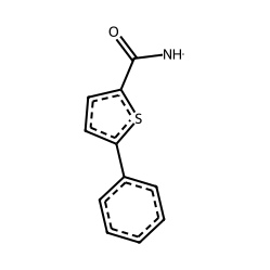 [NH]C(=O)c1ccc(-c2ccccc2)s1